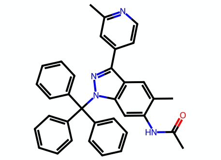 CC(=O)Nc1cc2c(cc1C)c(-c1ccnc(C)c1)nn2C(c1ccccc1)(c1ccccc1)c1ccccc1